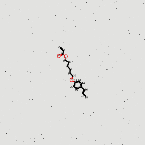 C=CC(=O)OCCCCCCOc1ccc(C=CC)cc1